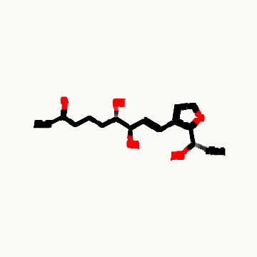 CCCCC[C@H](O)c1occc1/C=C/[C@@H](O)[C@@H](O)CCCC(=O)OC